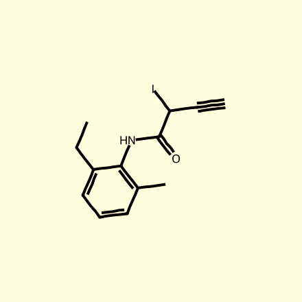 C#CC(I)C(=O)Nc1c(C)cccc1CC